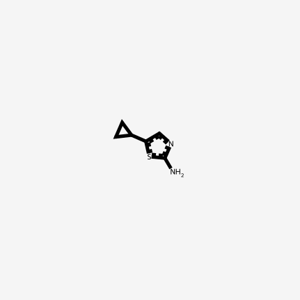 Nc1ncc(C2CC2)s1